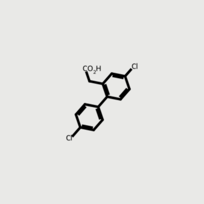 O=C(O)Cc1cc(Cl)ccc1-c1ccc(Cl)cc1